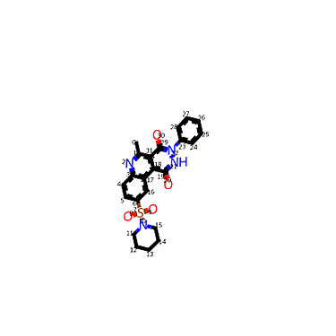 Cc1nc2ccc(S(=O)(=O)N3CCCCC3)cc2c2c(=O)[nH]n(-c3ccccc3)c(=O)c12